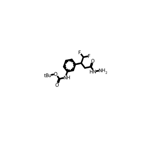 CC(C)(C)OC(=O)Nc1cccc(C(CC(=O)NN)C(F)F)c1